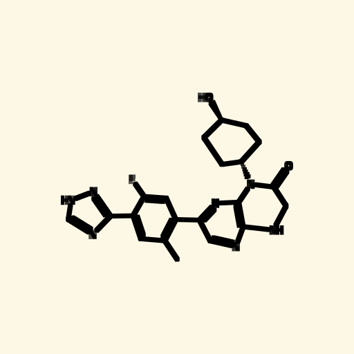 Cc1cc(-c2nc[nH]n2)c(F)cc1-c1cnc2c(n1)N([C@H]1CC[C@H](O)CC1)C(=O)CN2